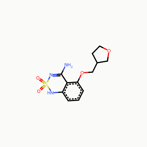 NC1=NS(=O)(=O)Nc2cccc(OCC3CCOC3)c21